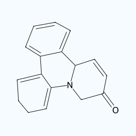 O=C1C=CC2c3ccccc3C3=CCCC=C3N2C1